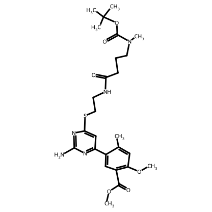 COC(=O)c1cc(-c2cc(SCCNC(=O)CCCN(C)C(=O)OC(C)(C)C)nc(N)n2)c(C)cc1OC